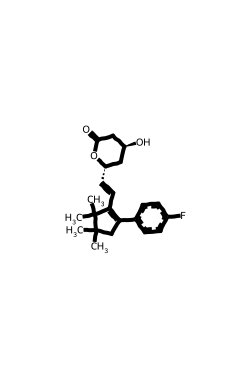 CC1(C)CC(c2ccc(F)cc2)=C(C=C[C@H]2C[C@H](O)CC(=O)O2)C1(C)C